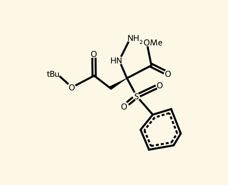 COC(=O)[C@@](CC(=O)OC(C)(C)C)(NN)S(=O)(=O)c1ccccc1